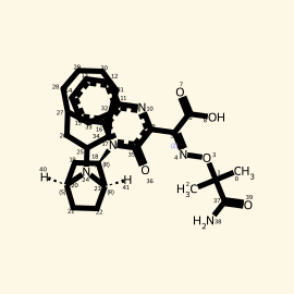 CC(C)(O/N=C(\C(=O)O)c1nc2ccccc2n([C@@H]2C[C@@H]3CC[C@H]2N3C2CC3CCCCC(C3)C2)c1=O)C(N)=O